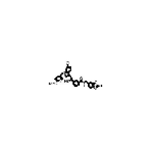 COc1ccc(Cn2cc(/C=C(\C#N)c3cccc(C(=O)NCc4ccc5oc(=O)[nH]c5c4)c3)c3ccc(Cl)cc32)cn1